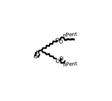 C=C=C=C=CC(CCCCC)CC(=O)OCCCCCCCCC(CCCCCCCCOC(=O)CC(C)CCCCC)CN1CCOCC1